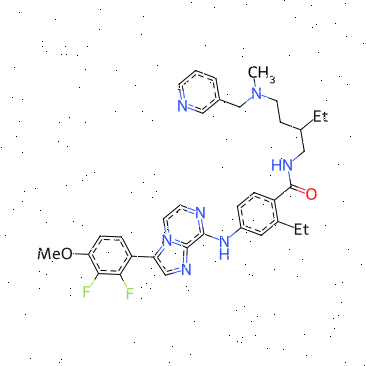 CCc1cc(Nc2nccn3c(-c4ccc(OC)c(F)c4F)cnc23)ccc1C(=O)NCC(CC)CCN(C)Cc1cccnc1